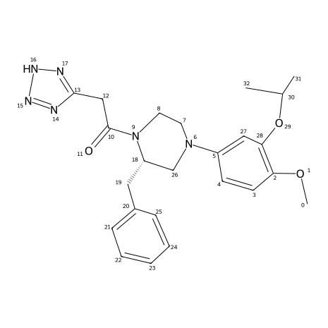 COc1ccc(N2CCN(C(=O)Cc3nn[nH]n3)[C@@H](Cc3ccccc3)C2)cc1OC(C)C